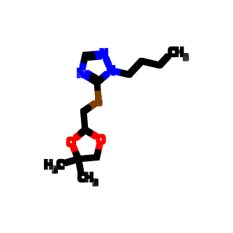 CCCCn1ncnc1SCC1OCC(C)(C)O1